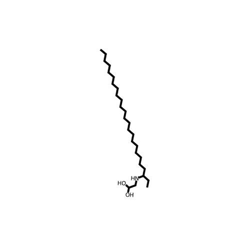 CCCCCCCCCCCCCCCCCCCCCCC(CC)NCC(O)O